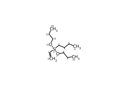 C=C[Si](CCCC)(OCCC)OCCC